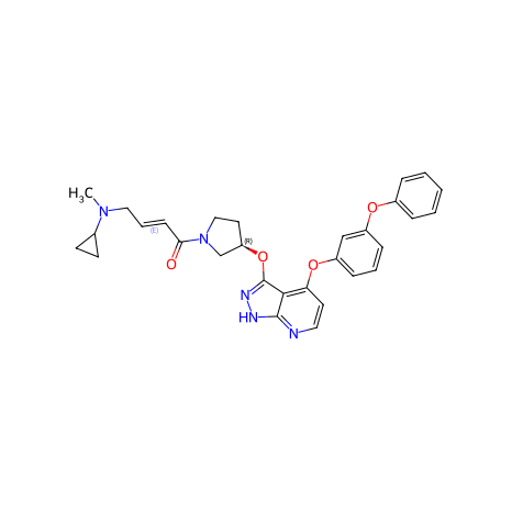 CN(C/C=C/C(=O)N1CC[C@@H](Oc2n[nH]c3nccc(Oc4cccc(Oc5ccccc5)c4)c23)C1)C1CC1